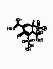 O=C(O)C1=CC(F)(S(=O)(=O)O)C(C(=O)O)C(S(=O)(=O)O)=C1F.[KH].[KH]